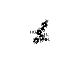 CC1(c2cc(NC(=O)c3ccc(Br)cn3)ccc2F)CN(c2cccnc2)C(=O)C(N)=N1.Cl